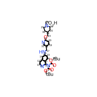 CC(C)(C)OC(=O)N(C(=O)OC(C)(C)C)c1nccc2cc(NCc3ccc(OCC4CCN(C(=O)O)CC4)nc3)ccc12